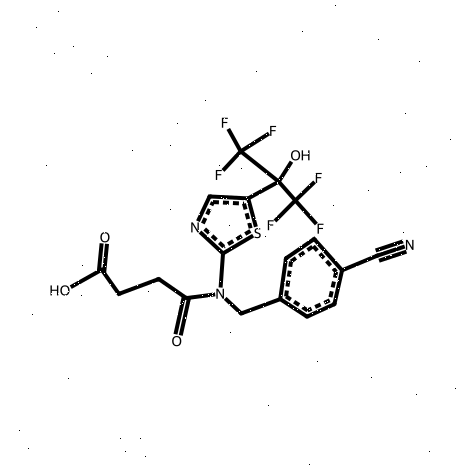 N#Cc1ccc(CN(C(=O)CCC(=O)O)c2ncc(C(O)(C(F)(F)F)C(F)(F)F)s2)cc1